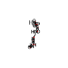 Cc1cccc(F)c1CN1C[C@H](c2ccc(N3CCN(CCCCCCCCNC(=O)C4CCN(c5ccc6c(c5)C(=O)N(C5CCC(=O)NC5=O)C6=O)CC4)CC3)cc2)[C@@H](N(C)C)C1